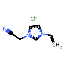 C=Cn1cc[n+](CC#N)c1.[Cl-]